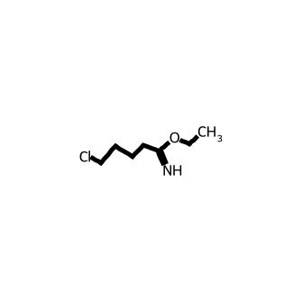 CCOC(=N)CCCCCl